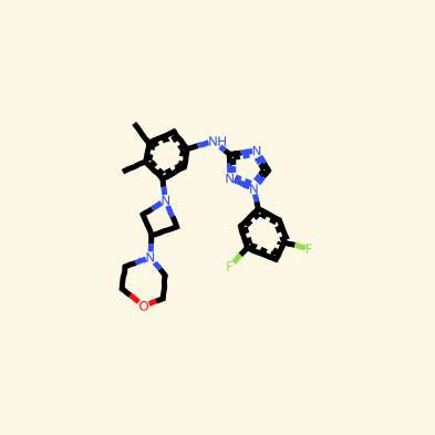 Cc1cc(Nc2ncn(-c3cc(F)cc(F)c3)n2)cc(N2CC(N3CCOCC3)C2)c1C